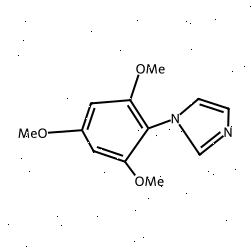 COc1cc(OC)c(-n2ccnc2)c(OC)c1